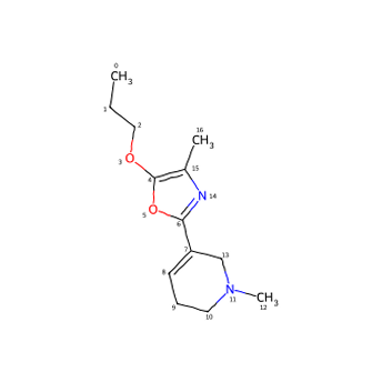 CCCOc1oc(C2=CCCN(C)C2)nc1C